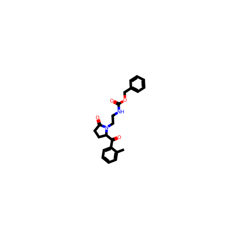 Cc1ccccc1C(=O)C1CCC(=O)N1CCNC(=O)OCc1ccccc1